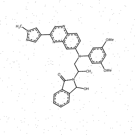 COc1cc(OC)cc(N(CC(C)N2C(=O)c3ccccc3C2O)c2ccc3ncc(-c4cnn(C)c4)nc3c2)c1